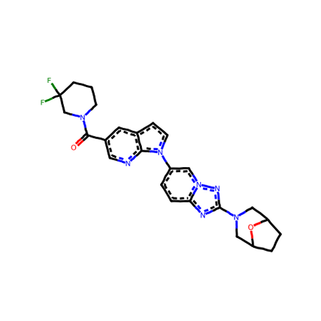 O=C(c1cnc2c(ccn2-c2ccc3nc(N4CC5CCC(C4)O5)nn3c2)c1)N1CCCC(F)(F)C1